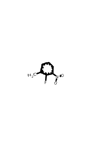 [CH2]c1cccc([N+](=O)[O-])c1F